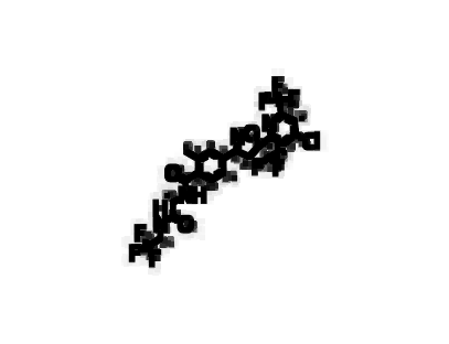 Cc1cc(C2=NO[C@](c3cc(Cl)cc(C(F)(F)F)n3)(C(F)(F)F)C2)ccc1C(=O)NCC(=O)NCC(F)(F)F